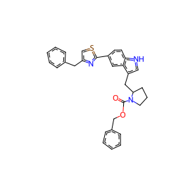 O=C(OCc1ccccc1)N1CCCC1Cc1c[nH]c2ccc(-c3nc(Cc4ccccc4)cs3)cc12